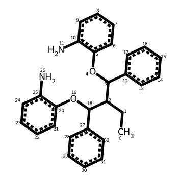 CCC(C(Oc1ccccc1N)c1ccccc1)C(Oc1ccccc1N)c1ccccc1